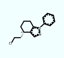 ClCC[C@@H]1CCCc2c1cnn2-c1ccccc1